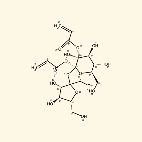 C=CC(=O)O[C@@]1(OC2(CO)O[C@H](CO)[C@@H](O)[C@@H]2O)O[C@H](CO)[C@@H](O)[C@H](O)[C@]1(O)OC(=O)C=C